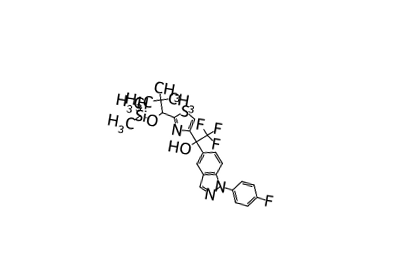 C[SiH](C)OC(c1nc(C(O)(c2ccc3c(cnn3-c3ccc(F)cc3)c2)C(F)(F)F)cs1)C(C)(C)C